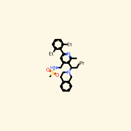 CCc1cccc(CC)c1-c1cc(CNS(C)(=O)=O)c(C(CC(C)C)N2CCc3ccccc3C2)c(C)n1